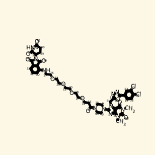 Cn1c(=O)c2c(nc(N3CCN(C(=O)CCOCCOCCOCCOCCNc4cccc5c4C(=O)N(C4CCC(=O)NC4=O)C5=O)CC3)n2Cc2nnc(-c3ccc(Cl)c(Cl)c3)o2)n(C)c1=O